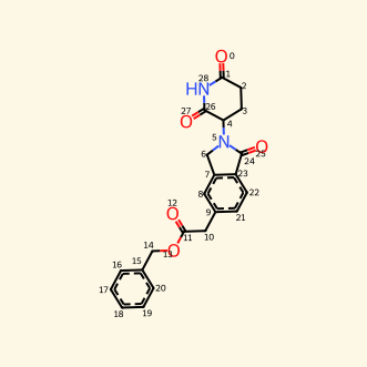 O=C1CCC(N2Cc3cc(CC(=O)OCc4ccccc4)ccc3C2=O)C(=O)N1